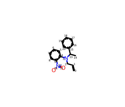 C=CCN(c1ccccc1[N+](=O)[O-])C(C)c1ccccc1